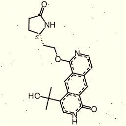 CC(C)(O)c1c[nH]c(=O)c2cc3ccnc(OCC[C@@H]4CCC(=O)N4)c3cc12